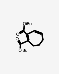 CC(C)COC(=O)C1=C(C(=O)OCC(C)C)CCCC=C1